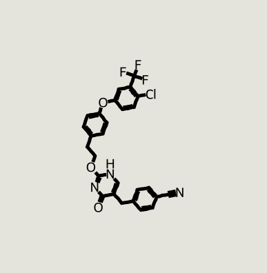 N#Cc1ccc(Cc2c[nH]c(OCCc3ccc(Oc4ccc(Cl)c(C(F)(F)F)c4)cc3)nc2=O)cc1